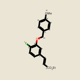 CCOC(=O)/C=C/c1ccc(F)c(OCc2ccc(OC)cc2)c1